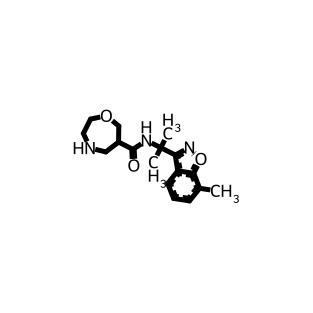 Cc1cccc2c(C(C)(C)NC(=O)C3CNCCOC3)noc12